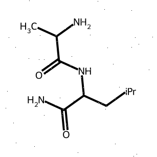 CC(C)CC(NC(=O)C(C)N)C(N)=O